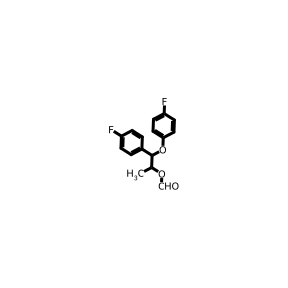 CC(OC=O)C(Oc1ccc(F)cc1)c1ccc(F)cc1